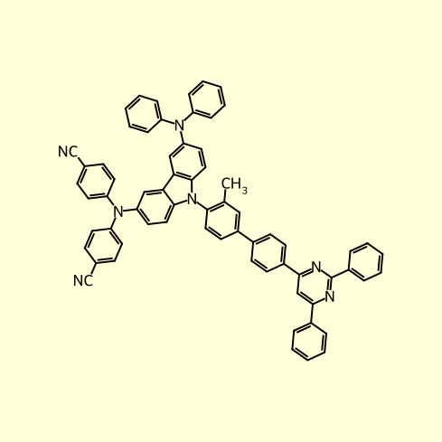 Cc1cc(-c2ccc(-c3cc(-c4ccccc4)nc(-c4ccccc4)n3)cc2)ccc1-n1c2ccc(N(c3ccccc3)c3ccccc3)cc2c2cc(N(c3ccc(C#N)cc3)c3ccc(C#N)cc3)ccc21